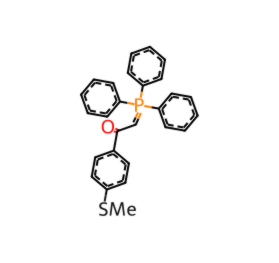 CSc1ccc(C(=O)C=P(c2ccccc2)(c2ccccc2)c2ccccc2)cc1